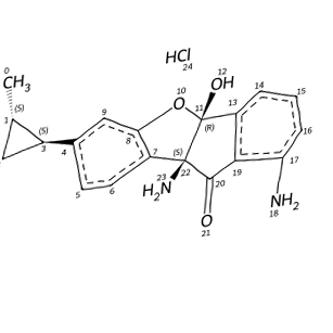 C[C@H]1C[C@@H]1c1ccc2c(c1)O[C@]1(O)c3cccc(N)c3C(=O)[C@]21N.Cl